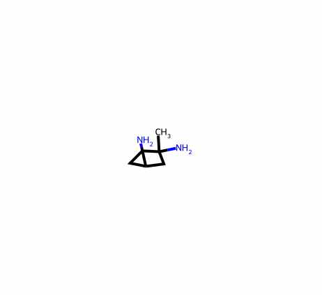 CC1(N)CC2CC21N